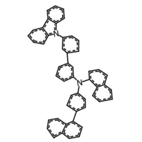 c1cc(-c2cccc(-n3c4ccccc4c4ccccc43)c2)cc(N(c2ccc(-c3cccc4ccccc34)cc2)c2cccc3ccccc23)c1